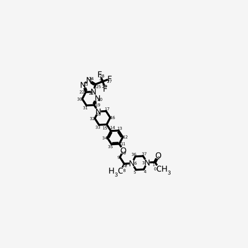 CC(=O)N1CCN([C@@H](C)COc2ccc(C3CCN(C4=Nn5c(nnc5C(F)(F)F)CC4)CC3)cc2)CC1